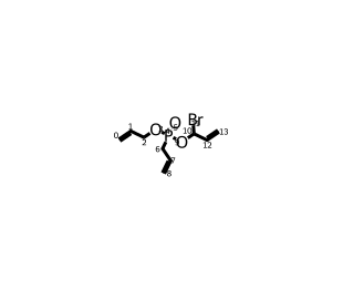 C=CCOP(=O)(CC=C)OC(Br)C=C